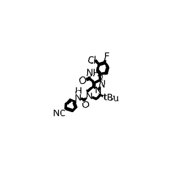 CC(C)(C)C1CN(C(=O)Nc2ccc(C#N)cc2)Cc2c(C(N)=O)c(-c3ccc(F)c(Cl)c3)nn21